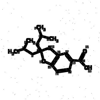 CC(C)CC1(CC(C)C)Oc2ccc(C(=O)O)cc2S1